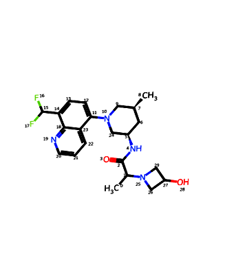 CC(C(=O)N[C@@H]1C[C@H](C)CN(c2ccc(C(F)F)c3ncccc23)C1)N1CC(O)C1